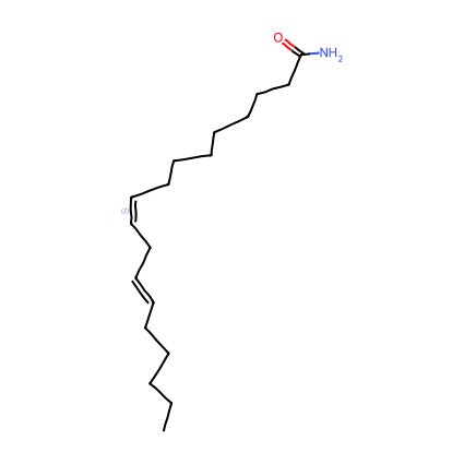 CCCCCC=CC/C=C\CCCCCCCC(N)=O